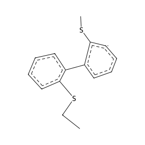 CCSc1ccccc1-c1ccc[c]c1SC